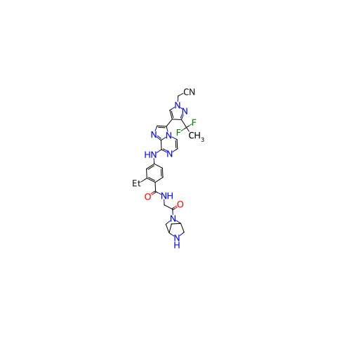 CCc1cc(Nc2nccn3c(-c4cn(CC#N)nc4C(C)(F)F)cnc23)ccc1C(=O)NCC(=O)N1CC2CC1CN2